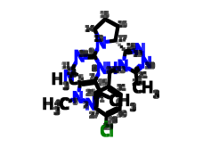 Cc1nn(C)c(C)c1N/C(=N\C#N)N1CCC[C@@H]1c1nnc(C)n1Cc1ccc(Cl)cc1